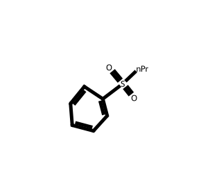 C[CH]CS(=O)(=O)c1ccccc1